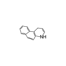 C1=CNc2ccc3ccccc3c2C1